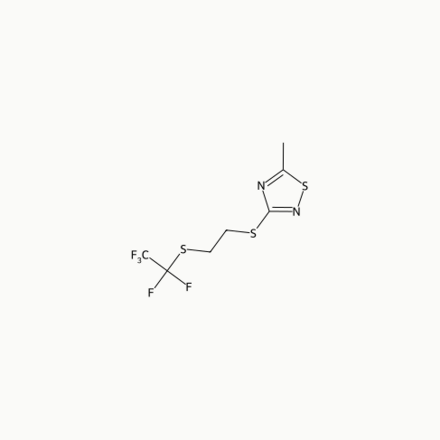 Cc1nc(SCCSC(F)(F)C(F)(F)F)ns1